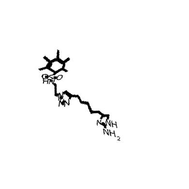 Cc1c(C)c(C)c(S(=O)(=O)NCCn2cc(CCCCCc3c[nH]c(N)n3)nn2)c(C)c1C